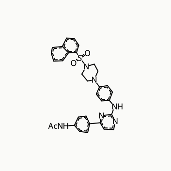 CC(=O)Nc1ccc(-c2ccnc(Nc3ccc(N4CCN(S(=O)(=O)c5cccc6ccccc56)CC4)cc3)n2)cc1